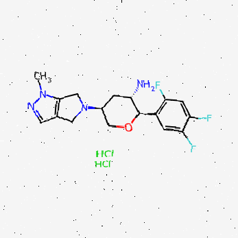 Cl.Cl.Cn1ncc2c1CN([C@@H]1CO[C@H](c3cc(F)c(F)cc3F)[C@@H](N)C1)C2